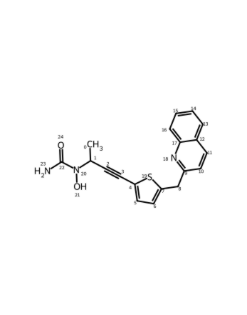 CC(C#Cc1ccc(Cc2ccc3ccccc3n2)s1)N(O)C(N)=O